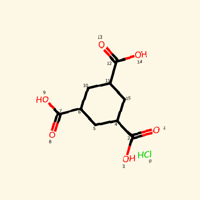 Cl.O=C(O)C1CC(C(=O)O)CC(C(=O)O)C1